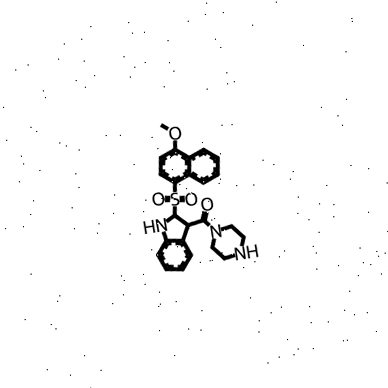 COc1ccc(S(=O)(=O)C2Nc3ccccc3C2C(=O)N2CCNCC2)c2ccccc12